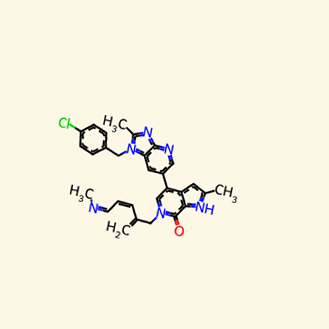 C=C(/C=C\C=N/C)Cn1cc(-c2cnc3nc(C)n(Cc4ccc(Cl)cc4)c3c2)c2cc(C)[nH]c2c1=O